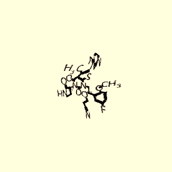 COc1ccc(F)cc1[C@H](Cn1c(=O)n([C@H]2CCNC2=O)c(=O)c2c(C)c(-n3nccn3)sc21)OCCC#N